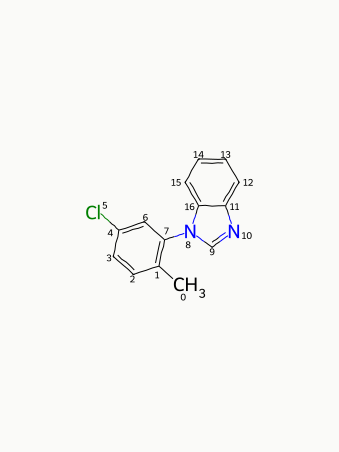 Cc1ccc(Cl)cc1-n1cnc2ccccc21